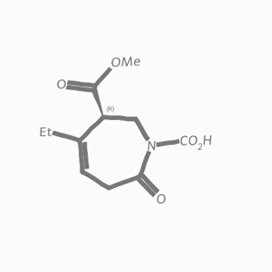 CCC1=CCC(=O)N(C(=O)O)C[C@@H]1C(=O)OC